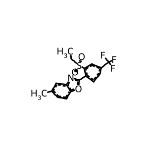 CCS(=O)(=O)c1cc(C(F)(F)F)ccc1-c1nc2cc(C)ccc2o1